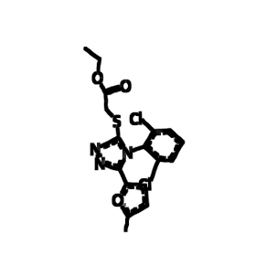 CCOC(=O)CSc1nnc(-c2ccc(C)o2)n1-c1c(Cl)cccc1Cl